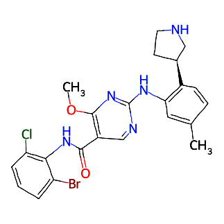 COc1nc(Nc2cc(C)ccc2[C@H]2CCNC2)ncc1C(=O)Nc1c(Cl)cccc1Br